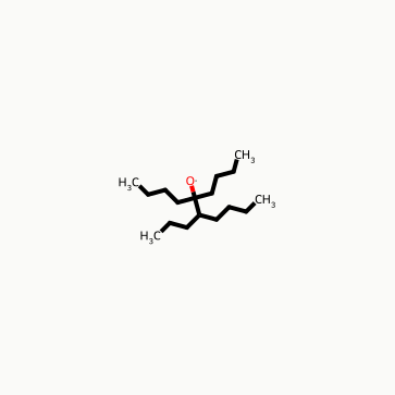 CCCCC(CCC)C([O])(CCCC)CCCC